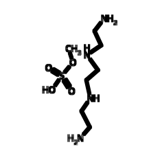 COS(=O)(=O)O.NCCNCCNCCN